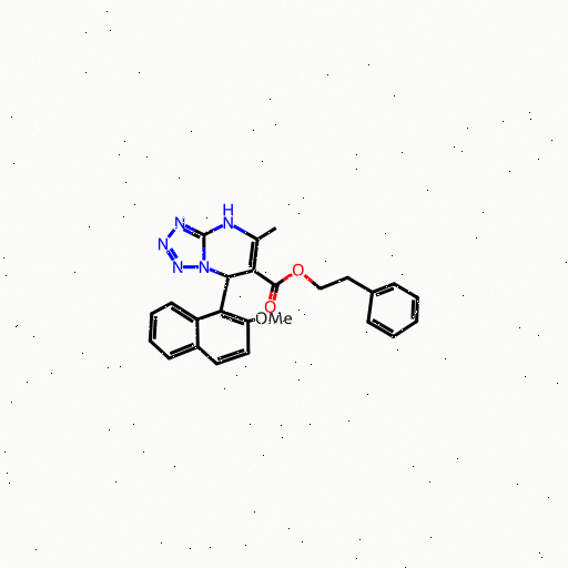 COc1ccc2ccccc2c1C1C(C(=O)OCCc2ccccc2)=C(C)Nc2nnnn21